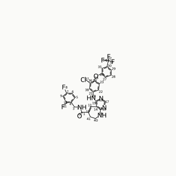 O=C(NCc1ccc(F)cc1F)C1=Cc2c(ncnc2Nc2ccc(Oc3cccc(C(F)(F)F)c3)c(Cl)c2)NCC1